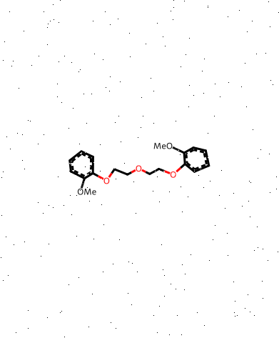 COc1ccccc1OCCOCCOc1ccccc1OC